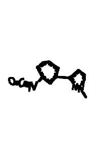 Cn1ccc(-c2cccc(N=C=O)c2)n1